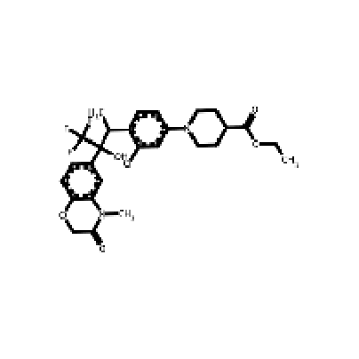 CCOC(=O)C1CCN(c2ccc(C(C)C(O)(c3ccc4c(c3)N(C)C(=O)CO4)C(F)(F)F)c(Cl)c2)CC1